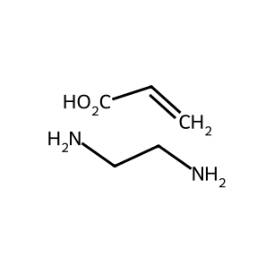 C=CC(=O)O.NCCN